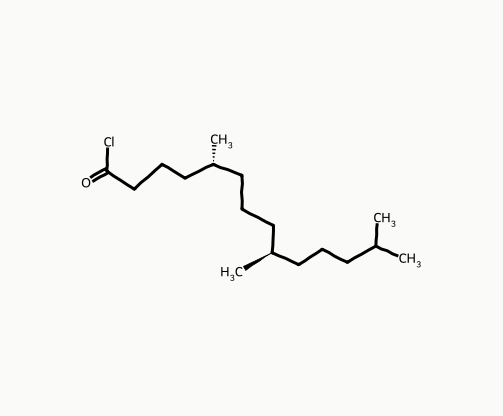 CC(C)CCC[C@@H](C)CCC[C@@H](C)CCCC(=O)Cl